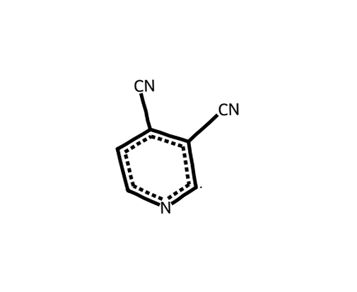 N#Cc1[c]nccc1C#N